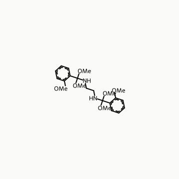 COc1ccccc1C(NCCNC(OC)(OC)c1ccccc1OC)(OC)OC